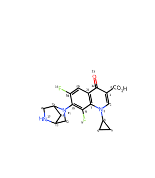 O=C(O)c1cn(C2CC2)c2c(F)c(N3CC4CC3CN4)c(F)cc2c1=O